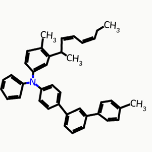 CC/C=C\C=C/C(C)c1cc(N(c2ccccc2)c2ccc(-c3cccc(-c4ccc(C)cc4)c3)cc2)ccc1C